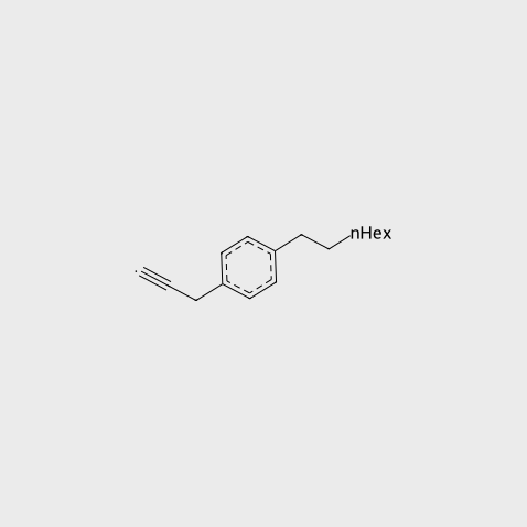 [C]#CCc1ccc(CCCCCCCC)cc1